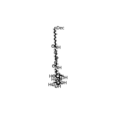 CCCCCCCCCCCCCCCCCCCCC(=O)NCCOCCOCCOCC(=O)NCCS[C@@H]1OC(CO)C(O[C@@H]2OC(CO)C(O)=CC2O)C(O)C1O